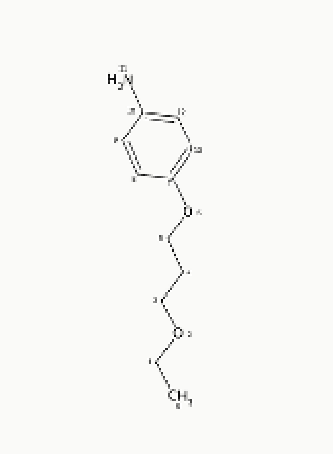 CCOCCCOc1ccc(N)cc1